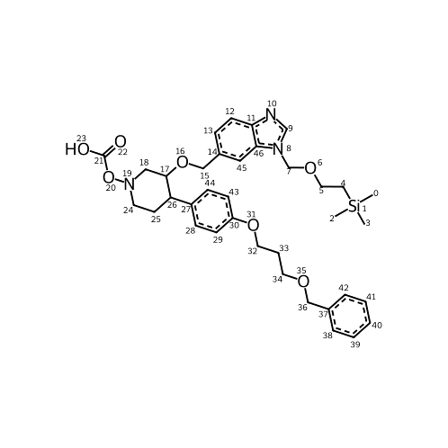 C[Si](C)(C)CCOCn1cnc2ccc(COC3CN(OC(=O)O)CCC3c3ccc(OCCCOCc4ccccc4)cc3)cc21